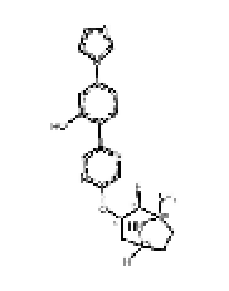 C[C@]12CC[C@H](C[C@@H](Oc3cnc(-c4ccc(-n5ccnc5)cc4O)cn3)[C@H]1F)N2